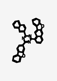 c1ccc2cc(-c3nc(-c4ccc5c(c4)oc4ccccc45)nc(-c4cccc5cc6oc7ccccc7c6cc45)n3)ccc2c1